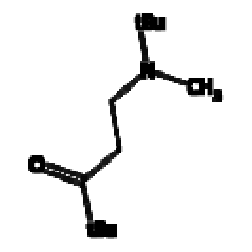 CN(CCC(=O)C(C)(C)C)C(C)(C)C